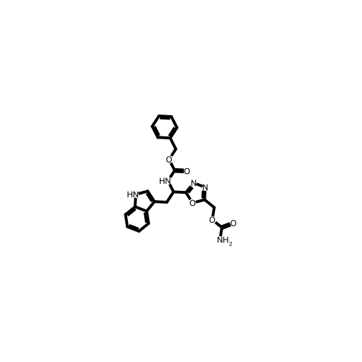 NC(=O)OCc1nnc(C(Cc2c[nH]c3ccccc23)NC(=O)OCc2ccccc2)o1